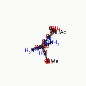 COP(=O)(O)OCCCCCCNC(=O)CCCC(=O)NC(COCCC(=O)NCCCN)(COCCC(=O)NCCCN)COCCC(=O)NCCCNC(=O)CCCCOC1OC(CO)C(O)C(O)C1NC(C)=O